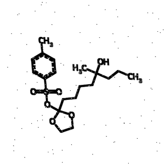 CCCC(C)(O)CCCCC1(OS(=O)(=O)c2ccc(C)cc2)OCCO1